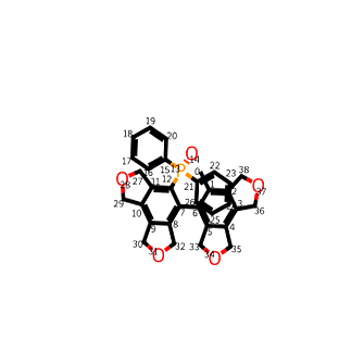 Cc1c2c(c3c(c1-c1c4c(c5c(c1P(=O)(c1ccccc1)c1ccccc1)COC5)COC4)COC3)COC2